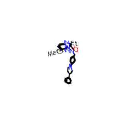 CCc1nc2ccc(OC)cn2c1C(=O)NCc1ccc(N2CCC(c3ccccc3)CC2)cc1